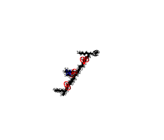 C=C=C=CCC(CCCCC)CCOC(=O)CCCCCCCC(CCCCCCCC(=O)OCCC(CC)CCCCC)OC(=O)CN(C(C)C)C(C)C